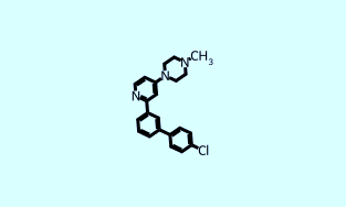 CN1CCN(c2ccnc(-c3cccc(-c4ccc(Cl)cc4)c3)c2)CC1